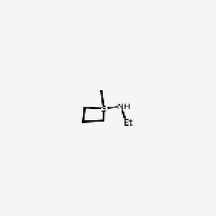 CCN[Si]1(C)CCC1